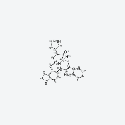 O=C1[C@H]2Cc3c([nH]c4ccccc34)[C@@H](c3ccc4c(c3)OCO4)N2C(=O)CN1C1CCNC1